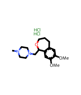 COc1cc2c(cc1OC)C(CN1CCN(C)CC1)OCCC2.Cl.Cl